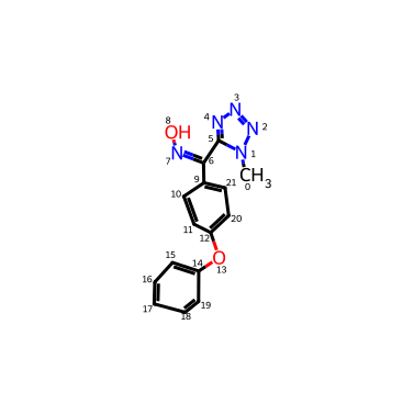 Cn1nnnc1/C(=N\O)c1ccc(Oc2ccccc2)cc1